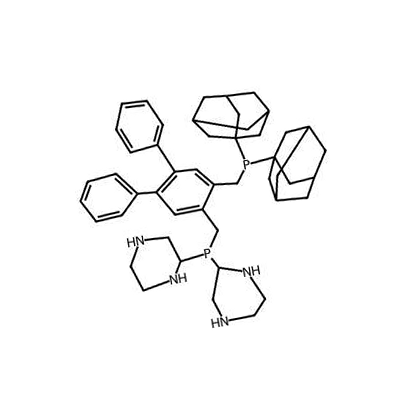 c1ccc(-c2cc(CP(C3CNCCN3)C3CNCCN3)c(CP(C34CC5CC(CC(C5)C3)C4)C34CC5CC(CC(C5)C3)C4)cc2-c2ccccc2)cc1